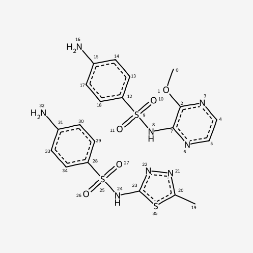 COc1nccnc1NS(=O)(=O)c1ccc(N)cc1.Cc1nnc(NS(=O)(=O)c2ccc(N)cc2)s1